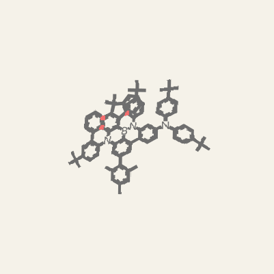 Cc1cc(C)c(-c2cc3c4c(c2)N(c2ccc(C(C)(C)C)cc2-c2ccccc2)c2ccc5c(c2B4N(c2ccc(C(C)(C)C)cc2)c2cc(N(c4ccc(C(C)(C)C)cc4)c4ccc(C(C)(C)C)cc4)ccc2-3)-c2ccccc2C5(C)C)c(C)c1